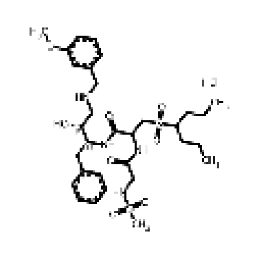 CCCC(CCC)S(=O)(=O)CC(NC(=O)CNS(C)(=O)=O)C(=O)N[C@@H](Cc1ccccc1)[C@H](O)CNCc1cccc(OC)c1.Cl